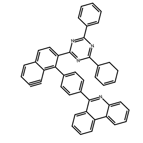 c1ccc2ccc(-c3nc(C4=CC=CCC4)nc(-c4ccccc4)n3)c(-c3ccc(-c4nc5ccccc5c5ccccc45)cc3)c2c#1